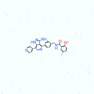 COc1ccc(F)cc1C(=O)NCc1ccc(-c2ncc(-c3ccncc3)c3[nH]nc(N)c23)cc1